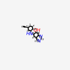 C#Cc1cccc(Nc2cc3cncnc3cc2O)c1